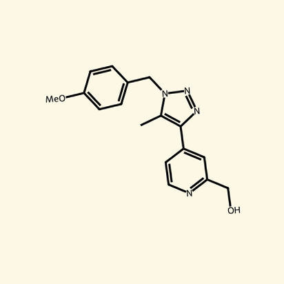 COc1ccc(Cn2nnc(-c3ccnc(CO)c3)c2C)cc1